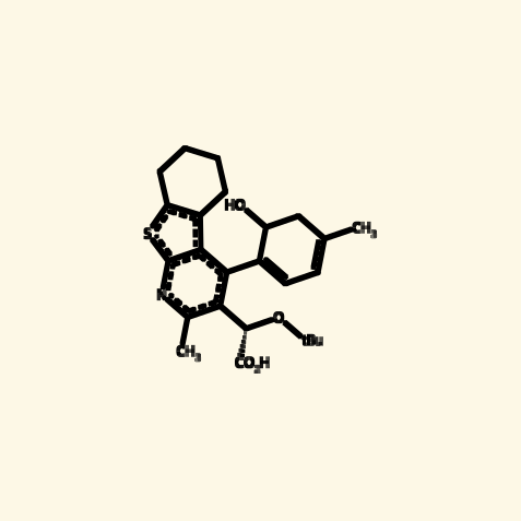 CC1=CC=C(c2c([C@H](OC(C)(C)C)C(=O)O)c(C)nc3sc4c(c23)CCCC4)C(O)C1